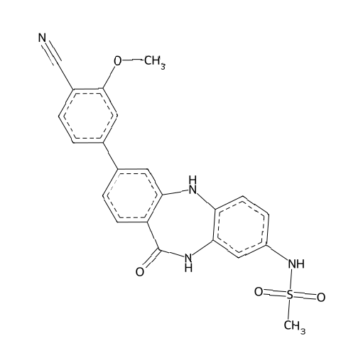 COc1cc(-c2ccc3c(c2)Nc2ccc(NS(C)(=O)=O)cc2NC3=O)ccc1C#N